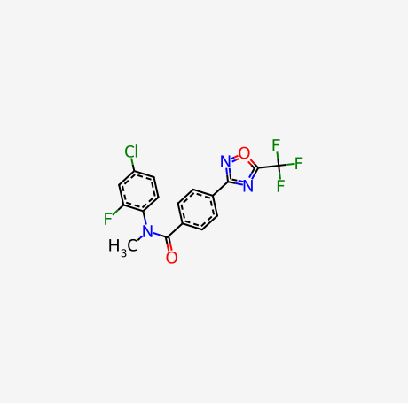 CN(C(=O)c1ccc(-c2noc(C(F)(F)F)n2)cc1)c1ccc(Cl)cc1F